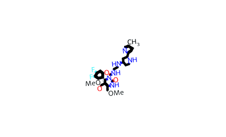 COCC1=C(C(=O)OC)[C@H](c2ccc(F)c(F)c2)N(C(=O)NCCNC2CCNC(c3ccc(C)cn3)C2)C(=O)N1